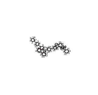 c1ccc(-c2ccc(-c3ccc(N(c4ccc(-c5ccc6c(c5)oc5ccc7nc(-c8ccccc8)oc7c56)cc4)c4ccccc4-c4ccccc4)cc3)cc2)cc1